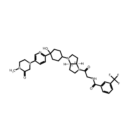 CN1CCN(c2ccc(C3(O)CCC(N4CC[C@@H]5[C@H]4CCN5C(=O)CNC(=O)c4cccc(C(F)(F)F)c4)CC3)nc2)CC1=O